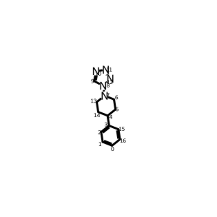 c1ccc(C2CCN(n3cnnn3)CC2)cc1